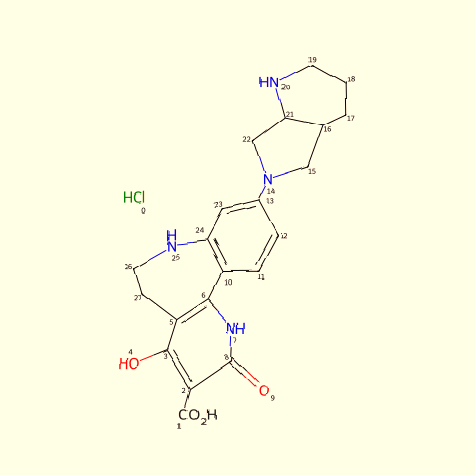 Cl.O=C(O)c1c(O)c2c([nH]c1=O)-c1ccc(N3CC4CCCNC4C3)cc1NCC2